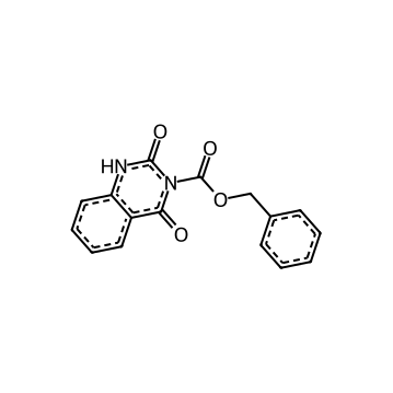 O=C(OCc1ccccc1)n1c(=O)[nH]c2ccccc2c1=O